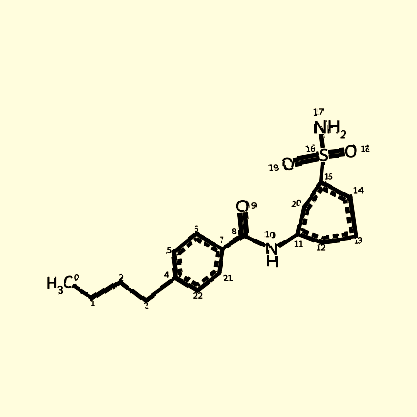 CCCCc1ccc(C(=O)Nc2cccc(S(N)(=O)=O)c2)cc1